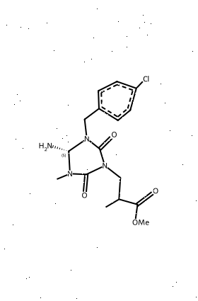 COC(=O)C(C)CN1C(=O)N(C)[C@H](N)N(Cc2ccc(Cl)cc2)C1=O